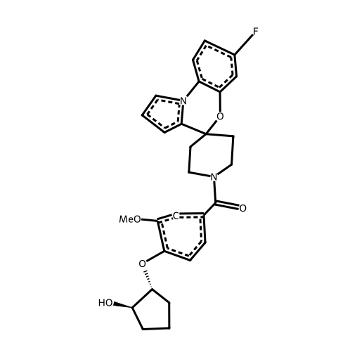 COc1cc(C(=O)N2CCC3(CC2)Oc2cc(F)ccc2-n2cccc23)ccc1O[C@@H]1CCC[C@H]1O